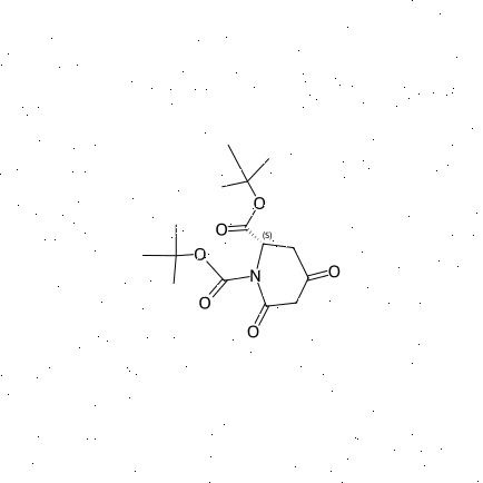 CC(C)(C)OC(=O)[C@@H]1CC(=O)CC(=O)N1C(=O)OC(C)(C)C